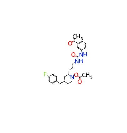 CC(=O)ON1CC[C@@H](Cc2ccc(F)cc2)C[C@@H]1CCCNC(=O)Nc1cccc(C(C)=O)c1